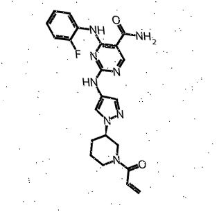 C=CC(=O)N1CCC[C@@H](n2cc(Nc3ncc(C(N)=O)c(Nc4ccccc4F)n3)cn2)C1